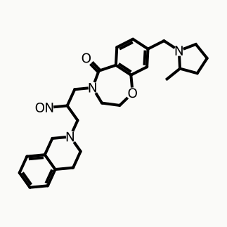 CC1CCCN1Cc1ccc2c(c1)OCCN(CC(CN1CCc3ccccc3C1)N=O)C2=O